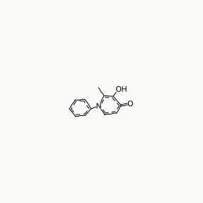 Cc1c(O)c(=O)ccn1-c1ccccc1